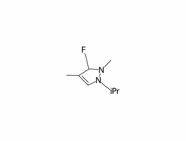 CC1=CN(C(C)C)N(C)C1F